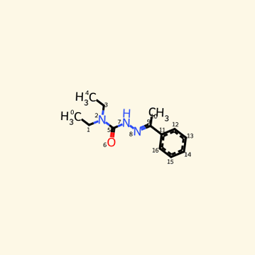 CCN(CC)C(=O)NN=C(C)c1ccccc1